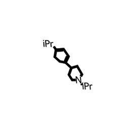 CC(C)C1=CC=C(C2CCN(C(C)C)CC2)CC1